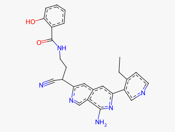 CCc1ccncc1-c1cc2cc(C(C#N)CCNC(=O)c3ccccc3O)ncc2c(N)n1